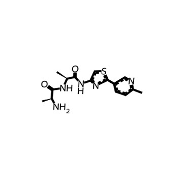 Cc1ccc(-c2nc(NC(=O)[C@H](C)NC(=O)[C@H](C)N)cs2)cn1